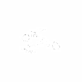 COC(=O)N(O)c1cccc(C[C@@H](CO)NC[C@H](O)COc2ccccc2)c1